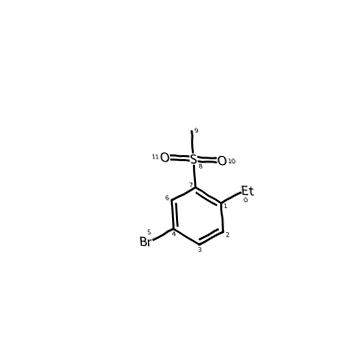 CCc1ccc(Br)cc1S(C)(=O)=O